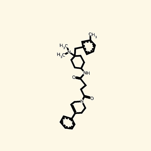 Cc1cccc(CC2(N(C)C)CCC(NC(=O)CCC(=O)N3CC=C(c4ccccc4)CC3)CC2)c1